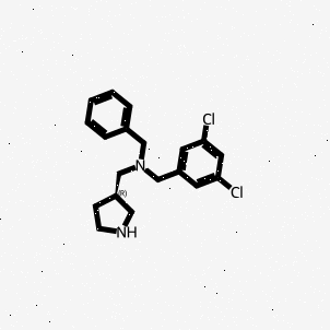 Clc1cc(Cl)cc(CN(Cc2ccccc2)C[C@@H]2CCNC2)c1